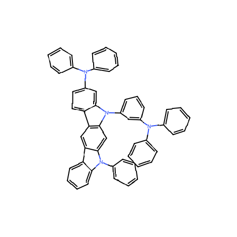 c1ccc(N(c2ccccc2)c2cccc(-n3c4cc(N(c5ccccc5)c5ccccc5)ccc4c4cc5c6ccccc6n(-c6ccccc6)c5cc43)c2)cc1